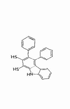 Sc1c(-c2ccccc2)c(-c2ccccc2)c2c([nH]c3ccccc32)c1S